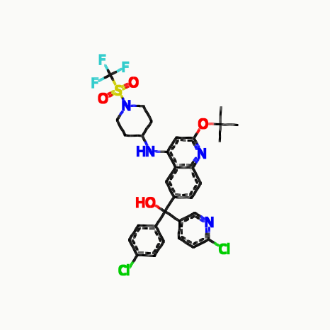 CC(C)(C)Oc1cc(NC2CCN(S(=O)(=O)C(F)(F)F)CC2)c2cc(C(O)(c3ccc(Cl)cc3)c3ccc(Cl)nc3)ccc2n1